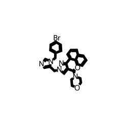 O=C(c1cn(Cc2cncn2Cc2ccc(Br)cc2)nc1-c1cccc2ccccc12)N1CCOCC1